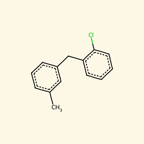 Cc1cccc(Cc2ccccc2Cl)c1